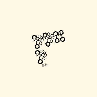 O=C([O-])C1(c2ccccn2)Cc2ccccc2OC1=O.O=C([O-])C1(c2ccccn2)Cc2ccccc2OC1=O.O=C([O-])C1(c2ccccn2)Cc2ccccc2OC1=O.[Ir+3].c1ccc(-c2ccccn2)cc1.c1ccc(-c2ccccn2)cc1